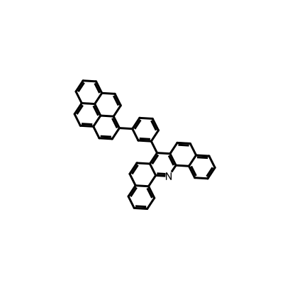 c1cc(-c2c3ccc4ccccc4c3nc3c2ccc2ccccc23)cc(-c2ccc3ccc4cccc5ccc2c3c45)c1